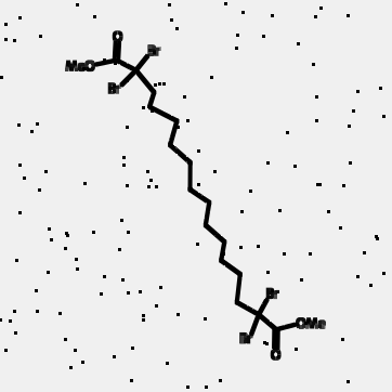 COC(=O)C(Br)(Br)CCCCCCCCCCCCC(Br)(Br)C(=O)OC